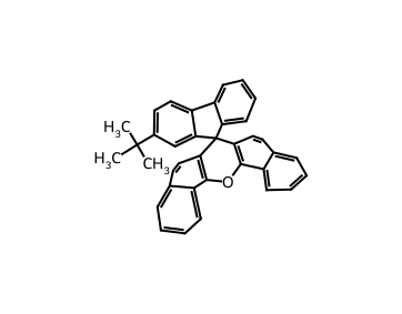 CC(C)(C)c1ccc2c(c1)C1(c3ccccc3-2)c2ccc3ccccc3c2Oc2c1ccc1ccccc21